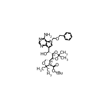 CC(C)(C)OC(=O)N1[C@@H]([C@H]2OC(C)(C)O[C@H]2C(O)c2cn(COCc3ccccc3)c3c(N)ncnc23)COC1(C)C